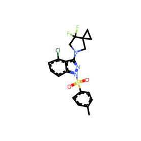 Cc1ccc(S(=O)(=O)n2nc(N3CC(F)(F)C4(CC4)C3)c3c(Cl)cccc32)cc1